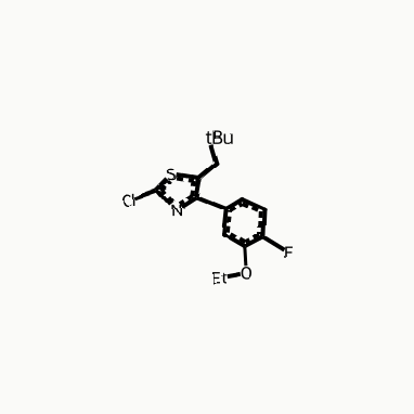 CCOc1cc(-c2nc(Cl)sc2CC(C)(C)C)ccc1F